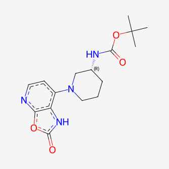 CC(C)(C)OC(=O)N[C@@H]1CCCN(c2ccnc3oc(=O)[nH]c23)C1